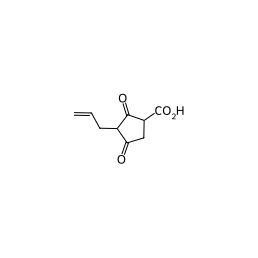 C=CCC1C(=O)CC(C(=O)O)C1=O